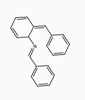 C1=CC(=Cc2ccccc2)C(N=Cc2ccccc2)C=C1